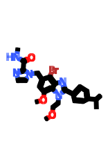 CNC(=O)c1nccn1Cc1cc(OC)c2c(nc(-c3ccc(C(C)C)cc3)n2CCOC)c1Br